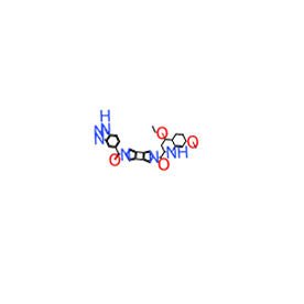 CCOC1CC(C(=O)n2cc3c(c2)-c2cn(C(=O)c4ccc5[nH]nnc5c4)cc2-3)NC2=CC(OC)CCC21